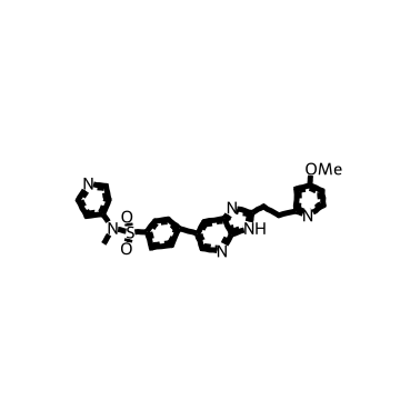 COc1ccnc(CCc2nc3cc(-c4ccc(S(=O)(=O)N(C)c5ccncc5)cc4)cnc3[nH]2)c1